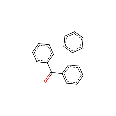 O=C(c1ccccc1)c1ccccc1.[c]1ccccc1